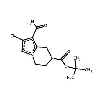 CC(C)(C)OC(=O)N1CCn2cc(Cl)c(C(N)=O)c2C1